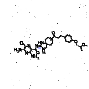 C=C(COc1ccc(CCC(=O)N2CCC3(CC2)CN/C(=N\C(=O)c2nc(Cl)c(N)nc2N)N3)cc1)OC